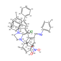 Cc1ccc(N=Cc2cc([N+](=O)[O-])cc[c]2[Ru-4]([Cl])(=[C]2C=C(c3ccccc3)c3ccccc32)=[C]2N(c3c(C)cc(C)cc3C)CCN2c2c(C)cc(C)cc2C)cc1